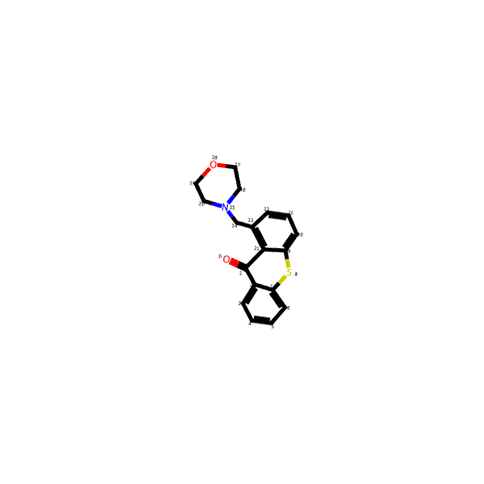 O=c1c2ccccc2sc2cccc(CN3CCOCC3)c12